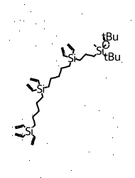 C=C[Si](C=C)(C=C)CCCCC[Si](C=C)(C=C)CCCCC[Si](C=C)(C=C)CCC[Si](C)(OC(C)(C)C)C(C)(C)C